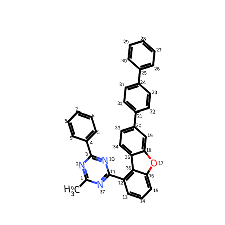 Cc1nc(-c2ccccc2)nc(-c2cccc3oc4cc(-c5ccc(-c6ccccc6)cc5)ccc4c23)n1